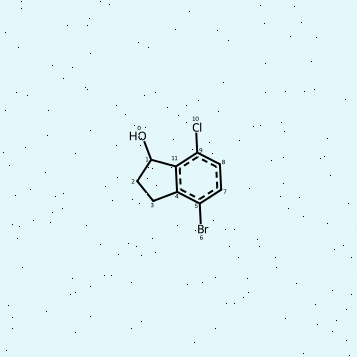 OC1CCc2c(Br)ccc(Cl)c21